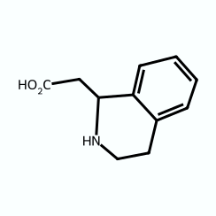 O=C(O)CC1NCCc2ccccc21